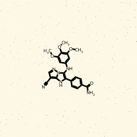 COc1cc(Nc2c(-c3ccc(C(N)=O)cc3)[nH]c3c(C#N)cnn23)cc(OC)c1OC